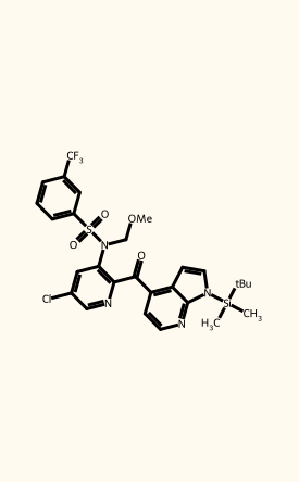 COCN(c1cc(Cl)cnc1C(=O)c1ccnc2c1ccn2[Si](C)(C)C(C)(C)C)S(=O)(=O)c1cccc(C(F)(F)F)c1